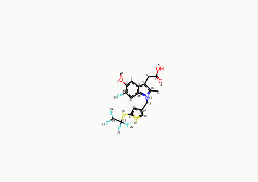 COc1cc2c(CC(=O)O)c(C)n(Cc3csc(SC(F)(F)C(F)F)c3)c2cc1F